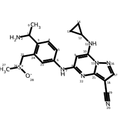 CC(N)c1ccc(Nc2cc(NC3CC3)n3ncc(C#N)c3n2)cc1C[S+](C)[O-]